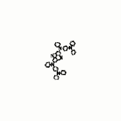 c1ccc(N(c2ccccc2)c2ccc(N(c3ccccc3)c3cc4cnc5cc(N(c6ccccc6)c6ccc(N(c7ccccc7)c7ccccc7)cc6)cc6cnc(c3)c4c65)cc2)cc1